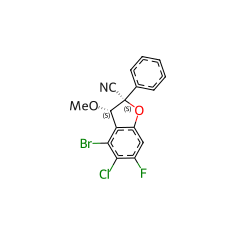 CO[C@H]1c2c(cc(F)c(Cl)c2Br)O[C@]1(C#N)c1ccccc1